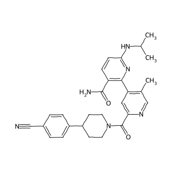 Cc1cnc(C(=O)N2CCC(c3ccc(C#N)cc3)CC2)cc1-c1nc(NC(C)C)ccc1C(N)=O